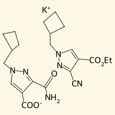 CCOC(=O)c1cn(CC2CCC2)nc1C#N.NC(=O)c1nn(CC2CCC2)cc1C(=O)[O-].[K+]